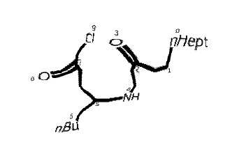 CCCCCCCCC(=O)NC(CCCC)C(=O)Cl